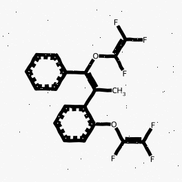 CC(=C(OC(F)=C(F)F)c1ccccc1)c1ccccc1OC(F)=C(F)F